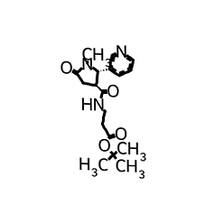 CN1C(=O)C[C@H](C(=O)NCCC(=O)OC(C)(C)C)[C@H]1c1cccnc1